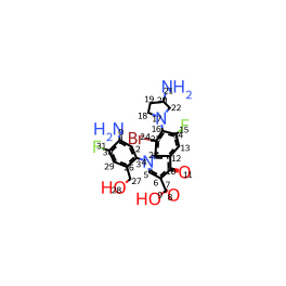 Nc1cc(-n2cc(C(=O)O)c(=O)c3cc(F)c(N4CCC(N)C4)c(Br)c32)c(CO)cc1F